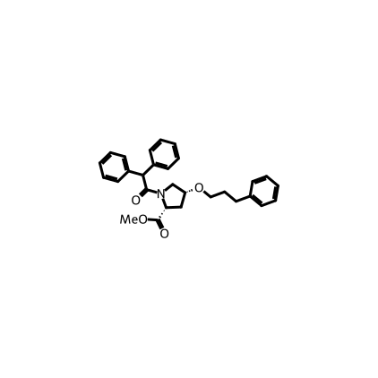 COC(=O)[C@H]1C[C@@H](OCCCc2ccccc2)CN1C(=O)C(c1ccccc1)c1ccccc1